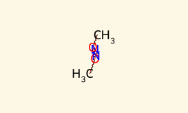 CCCCCCCCCCCOc1ccc2c(n1)CCc1nc(OCCCCCCCCC)ccc1-2